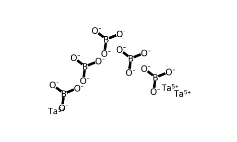 [O-]B([O-])[O-].[O-]B([O-])[O-].[O-]B([O-])[O-].[O-]B([O-])[O-].[O-]B([O-])[O-].[Ta+5].[Ta+5].[Ta+5]